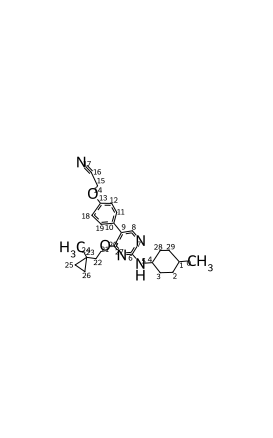 CC1CCC(Nc2ncc(-c3ccc(OCC#N)cc3)c(OCC3(C)CC3)n2)CC1